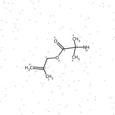 C=C(C)COC(=O)C(C)(C)[NH]